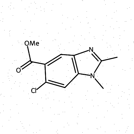 COC(=O)c1cc2nc(C)n(C)c2cc1Cl